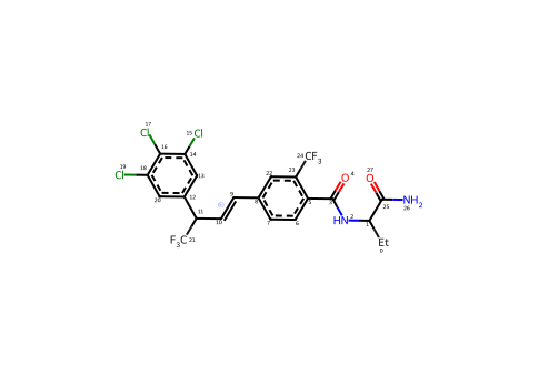 CCC(NC(=O)c1ccc(/C=C/C(c2cc(Cl)c(Cl)c(Cl)c2)C(F)(F)F)cc1C(F)(F)F)C(N)=O